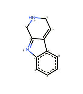 C1=C2C(=Nc3ccccc32)CNC1